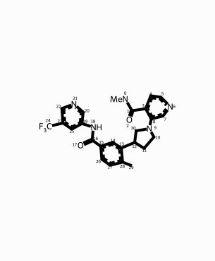 CNC(=O)c1ccncc1N1CCC(c2cc(C(=O)Nc3cncc(C(F)(F)F)c3)ccc2C)C1